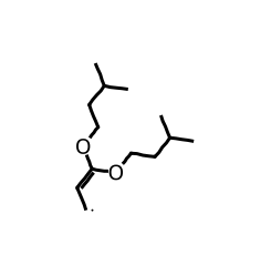 [CH2]C=C(OCCC(C)C)OCCC(C)C